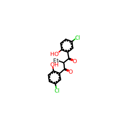 CCC(C(=O)c1cc(Cl)ccc1O)C(=O)c1cc(Cl)ccc1O